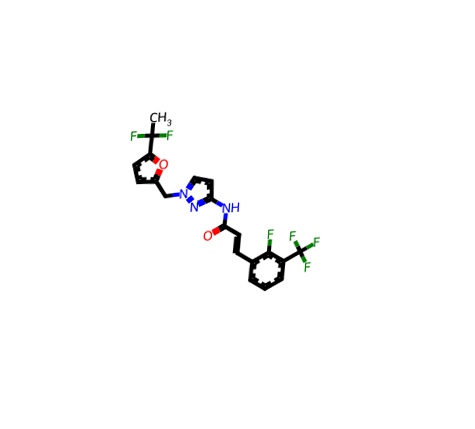 CC(F)(F)c1ccc(Cn2ccc(NC(=O)C=Cc3cccc(C(F)(F)F)c3F)n2)o1